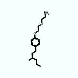 BCCOCCOc1ccc(CCC(C)CCC)cc1